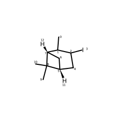 CC1C(I)C[C@H]2C[C@@H]1C2(C)C